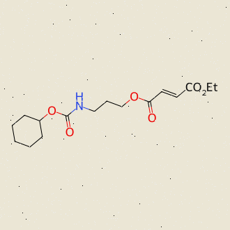 CCOC(=O)/C=C/C(=O)OCCCNC(=O)OC1CCCCC1